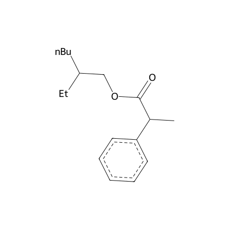 CCCCC(CC)COC(=O)C(C)c1ccccc1